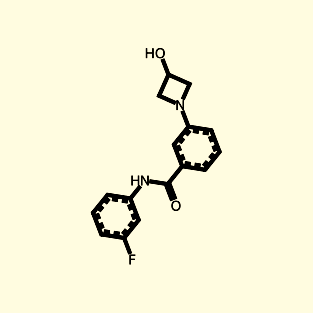 O=C(Nc1cccc(F)c1)c1cccc(N2CC(O)C2)c1